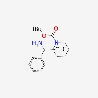 CC(C)(C)OC(=O)N1CC2CCC1(C(N)c1ccccc1)CC2